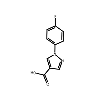 O=C(O)c1cnn(-c2ccc(F)cc2)c1